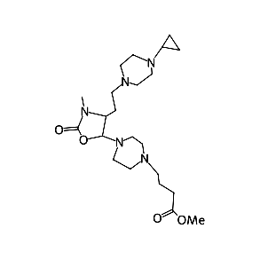 COC(=O)CCCN1CCN(C2OC(=O)N(C)C2CCN2CCN(C3CC3)CC2)CC1